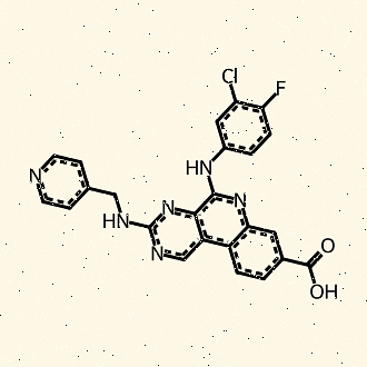 O=C(O)c1ccc2c(c1)nc(Nc1ccc(F)c(Cl)c1)c1nc(NCc3ccncc3)ncc12